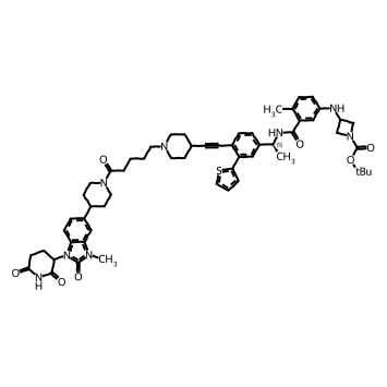 Cc1ccc(NC2CN(C(=O)OC(C)(C)C)C2)cc1C(=O)N[C@@H](C)c1ccc(C#CC2CCN(CCCCC(=O)N3CCC(c4ccc5c(c4)n(C)c(=O)n5C4CCC(=O)NC4=O)CC3)CC2)c(-c2cccs2)c1